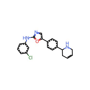 Clc1cccc(Nc2ncc(-c3ccc(C4CC=CCN4)cc3)o2)c1